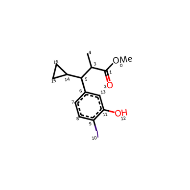 COC(=O)C(C)C(c1ccc(I)c(O)c1)C1CC1